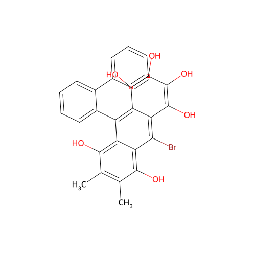 Cc1c(C)c(O)c2c(-c3ccccc3-c3ccccc3)c3c(O)c(O)c(O)c(O)c3c(Br)c2c1O